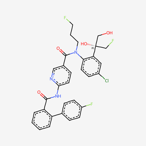 O=C(Nc1ccc(C(=O)N(CCCF)c2ccc(Cl)cc2[C@@](O)(CO)CF)cn1)c1ccccc1-c1ccc(F)cc1